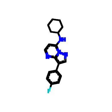 Fc1ccc(-c2cnn3c(NC4CCCCC4)ccnc23)cc1